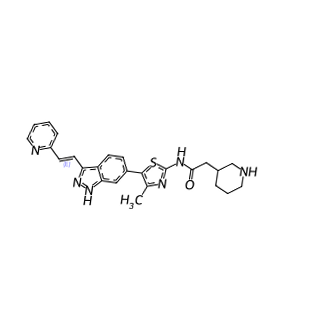 Cc1nc(NC(=O)CC2CCCNC2)sc1-c1ccc2c(/C=C/c3ccccn3)n[nH]c2c1